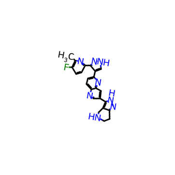 Cc1nc(-c2n[nH]cc2-c2ccc3ncc(-c4[nH]nc5c4CNCC5)cc3n2)ccc1F